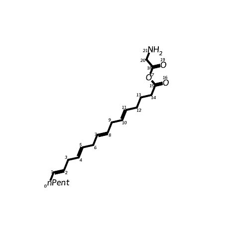 CCCCCC=CCC=CCC=CCC=CCCCC(=O)OC(=O)CN